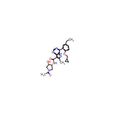 CCc1ccc(OCC2CC2)c(-c2ncnc3c(C(=O)N[C@@H]4CN(C(C)=O)C[C@H]4O)c(C)[nH]c23)c1